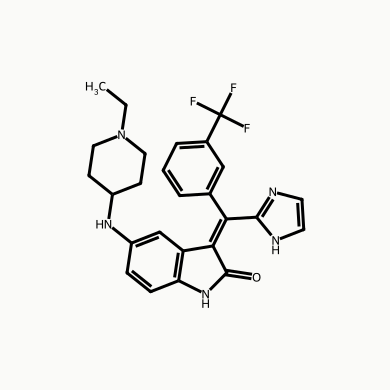 CCN1CCC(Nc2ccc3c(c2)/C(=C(\c2cccc(C(F)(F)F)c2)c2ncc[nH]2)C(=O)N3)CC1